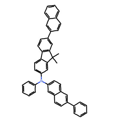 CC1(C)c2cc(-c3ccc4ccccc4c3)ccc2-c2ccc(N(c3ccccc3)c3ccc4cc(-c5ccccc5)ccc4c3)cc21